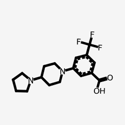 O=C(O)c1cc(N2CCC(N3CCCC3)CC2)cc(C(F)(F)F)c1